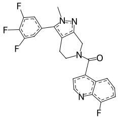 Cn1nc2c(c1-c1cc(F)c(F)c(F)c1)CCN(C(=O)c1ccnc3c(F)cccc13)C2